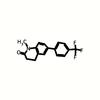 CN1C(=O)CCc2cc(-c3ccc(C(F)(F)F)cc3)ccc21